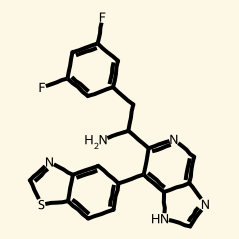 NC(Cc1cc(F)cc(F)c1)c1ncc2nc[nH]c2c1-c1ccc2scnc2c1